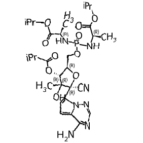 CC(C)OC(=O)[C@@H](C)NP(=O)(N[C@H](C)C(=O)OC(C)C)OC[C@H]1O[C@@](C#N)(c2ccc3c(N)ncnn23)[C@](C)(O)[C@@H]1OC(=O)C(C)C